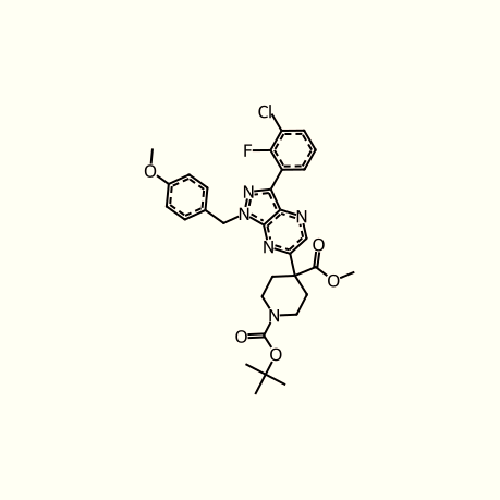 COC(=O)C1(c2cnc3c(-c4cccc(Cl)c4F)nn(Cc4ccc(OC)cc4)c3n2)CCN(C(=O)OC(C)(C)C)CC1